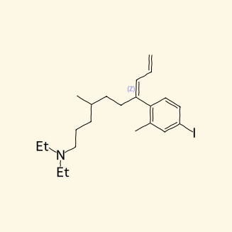 C=C/C=C(/CCC(C)CCCN(CC)CC)c1ccc(I)cc1C